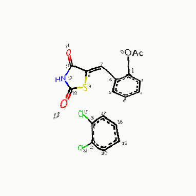 CC(=O)Oc1ccccc1C=C1SC(=O)NC1=O.Clc1ccccc1Cl